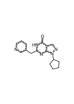 O=c1[nH]c(Cc2cccnc2)nc2c1cnn2C1CCCC1